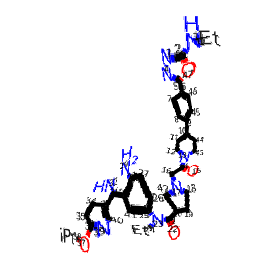 CCNc1nnc(-c2ccc(C3=CCN(C(=O)CN4CCC(C(=O)N(CC)c5ccc(N)c(C(=N)c6ccc(OC(C)C)nc6)c5)C4)CC3)cc2)o1